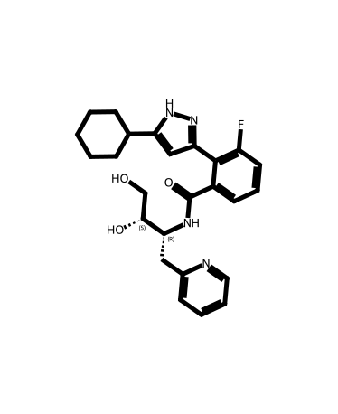 O=C(N[C@H](Cc1ccccn1)[C@H](O)CO)c1cccc(F)c1-c1cc(C2CCCCC2)[nH]n1